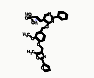 COc1cc(COc2nc(-c3ccccc3)ncc2/C=C/P(=O)(O)O)ccc1OCc1nc(-c2ccco2)oc1C